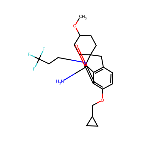 COC1CCC2(CC1)Cc1ccc(OCC3CC3)cc1C21N=C(N)N(CCC(F)(F)F)C1=O